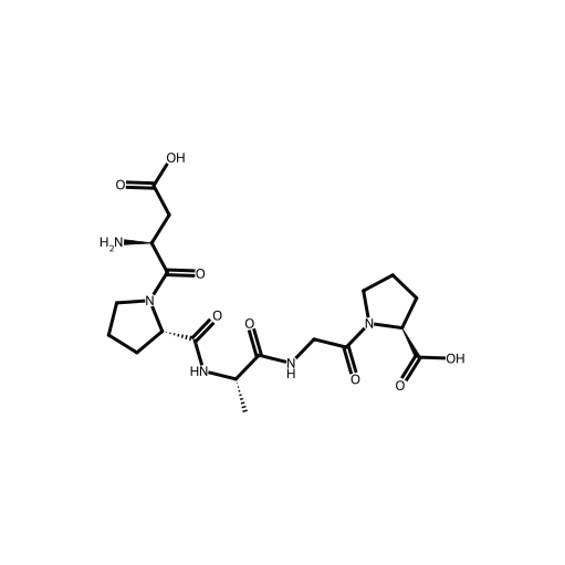 C[C@H](NC(=O)[C@@H]1CCCN1C(=O)[C@@H](N)CC(=O)O)C(=O)NCC(=O)N1CCC[C@H]1C(=O)O